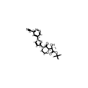 CC(C)(C)OC(=O)[C@](C)(O)[C@H]1OCCN(c2ccn(-c3cnnc(C#N)c3)n2)C1=O